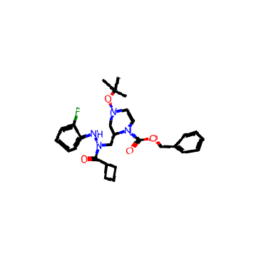 CC(C)(C)ON1CCN(C(=O)OCc2ccccc2)C(CN(Nc2ccccc2F)C(=O)C2CCC2)C1